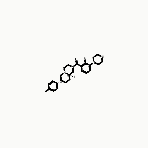 O=C(c1cccc(N2CCNCC2)c1F)N1CCN2C[C@@H](c3ccc(Cl)cc3)CC[C@@H]2C1